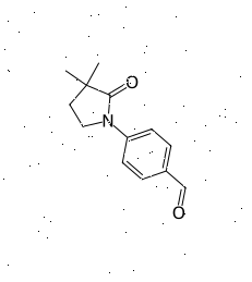 CC1(C)CCN(c2ccc(C=O)cc2)C1=O